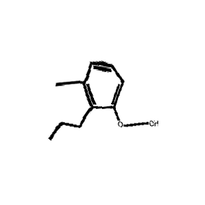 CCCc1c(C)cccc1OO